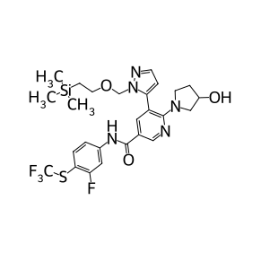 C[Si](C)(C)CCOCn1nccc1-c1cc(C(=O)Nc2ccc(SC(F)(F)F)c(F)c2)cnc1N1CCC(O)C1